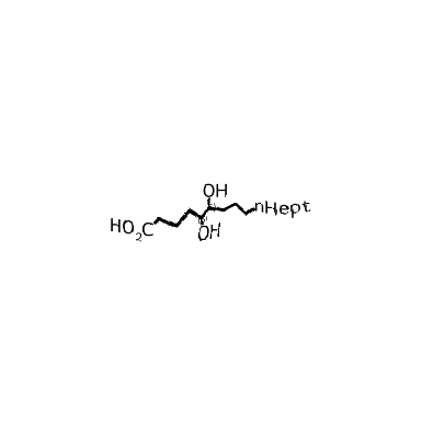 CCCCCCCCCC[C@H](O)[C@@H](O)CCCC(=O)O